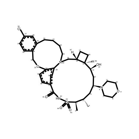 C[C@@H]1[C@@H](C)C[C@H](N2CCOCC2)C[C@H](O)[C@@H]2CC[C@H]2CN2CCCCc3cc(Cl)ccc3COc3ccc(cc32)C(=O)NS1(=O)=O